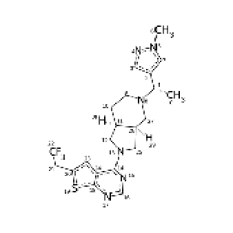 C[C@@H](c1cnn(C)c1)N1CC[C@@H]2CN(c3ncnc4sc(CC(F)(F)F)cc34)C[C@@H]2C1